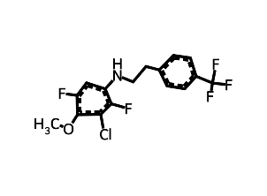 COc1c(F)cc(NCCc2ccc(C(F)(F)F)cc2)c(F)c1Cl